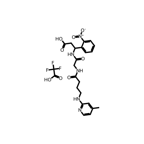 Cc1ccnc(NCCCC(=O)NCC(=O)NC(CC(=O)O)c2ccccc2[N+](=O)[O-])c1.O=C(O)C(F)(F)F